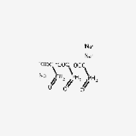 O=[PH2]C(=O)[O-].O=[PH2]C(=O)[O-].O=[PH2]C(=O)[O-].[Na+].[Na+].[Na+]